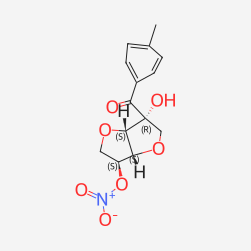 Cc1ccc(C(=O)[C@@]2(O)CO[C@@H]3[C@@H](O[N+](=O)[O-])CO[C@@H]32)cc1